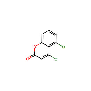 O=c1cc(Cl)c2c(Cl)cccc2o1